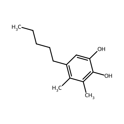 CCCCCc1cc(O)c(O)c(C)c1C